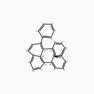 [c]1ccccc1-c1ccc2cccc(-c3ccccc3)c2c1-c1ccccc1